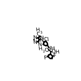 Cc1nn(-c2ccc(NC(=O)C(O)c3cc(F)ccc3F)cc2Cl)c2c(N)ncnc12